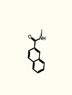 O=C(NI)c1ccc2ccccc2c1